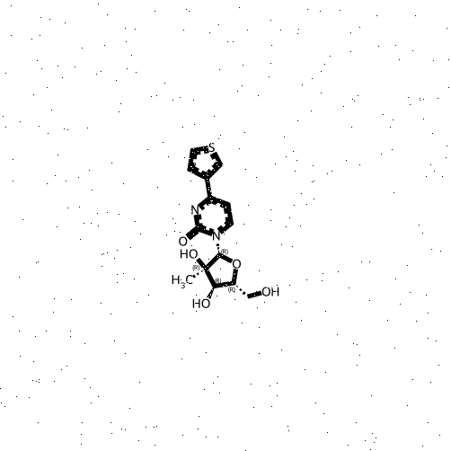 C[C@@]1(O)[C@H](O)[C@@H](CO)O[C@H]1n1ccc(-c2ccsc2)nc1=O